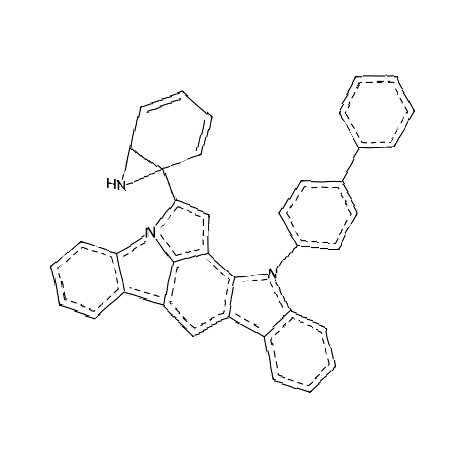 C1=CC2NC2(c2cc3c4c(cc5c6ccccc6n2c53)c2ccccc2n4-c2ccc(-c3ccccc3)cc2)C=C1